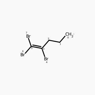 [CH2]CCC(Br)=C(Br)Br